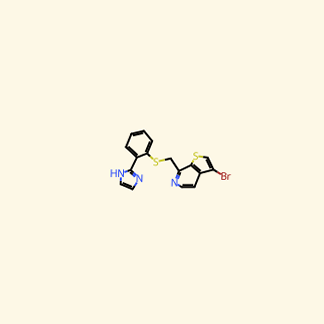 Brc1csc2c(CSc3ccccc3-c3ncc[nH]3)nccc12